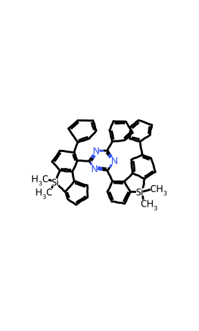 C[Si]1(C)c2ccc(-c3ccccc3)cc2-c2c(-c3nc(-c4ccccc4)nc(-c4c(-c5ccccc5)ccc5c4-c4ccccc4[Si]5(C)C)n3)cccc21